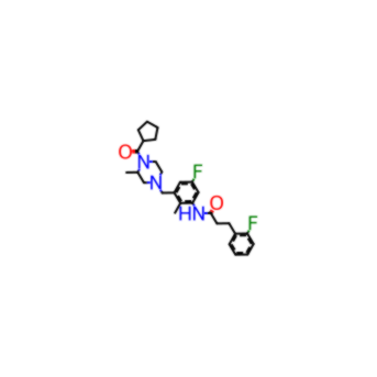 Cc1c(CN2CCN(C(=O)C3CCCC3)C(C)C2)cc(F)cc1NC(=O)CCc1ccccc1F